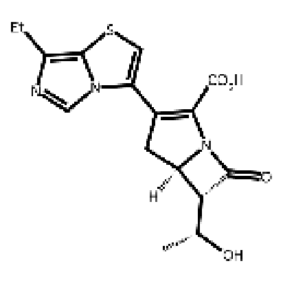 CCc1ncn2c(C3=C(C(=O)O)N4C(=O)[C@H]([C@@H](C)O)[C@H]4C3)csc12